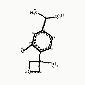 CC(C(=O)O)c1ccc(C2(N)COC2)c(Cl)c1